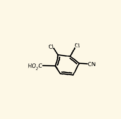 N#Cc1ccc(C(=O)O)c(Cl)c1Cl